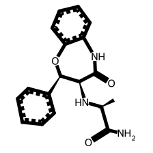 C[C@H](N[C@@H]1C(=O)Nc2ccccc2O[C@@H]1c1ccccc1)C(N)=O